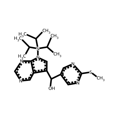 CSc1ncc(C(O)c2cn([Si](C(C)C)(C(C)C)C(C)C)c3ncncc23)cn1